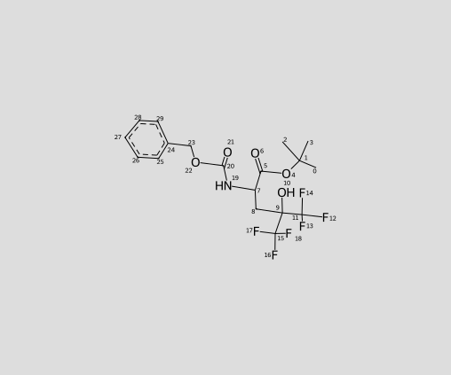 CC(C)(C)OC(=O)C(CC(O)(C(F)(F)F)C(F)(F)F)NC(=O)OCc1ccccc1